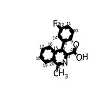 Cc1nc(C(=O)O)c(-c2cccc(F)c2)c2ccccc12